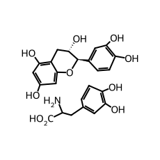 NC(Cc1ccc(O)c(O)c1)C(=O)O.Oc1cc(O)c2c(c1)O[C@H](c1ccc(O)c(O)c1)[C@@H](O)C2